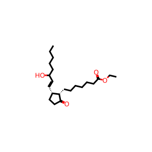 CCCCCC(O)/C=C/[C@H]1CCC(=O)[C@H]1CCCCCCC(=O)OCC